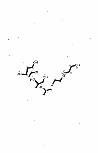 CC(C)O.CC(O)CO.CCCO.CCO.OCCCO.OCCO